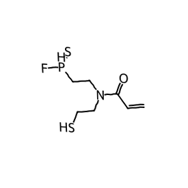 C=CC(=O)N(CCS)CC[PH](F)=S